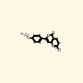 COc1ccc(-c2cc3nc(Cl)ccc3c(=O)o2)cc1